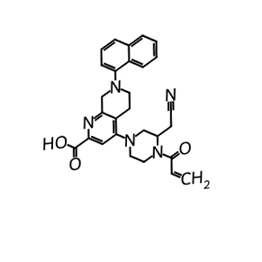 C=CC(=O)N1CCN(c2cc(C(=O)O)nc3c2CCN(c2cccc4ccccc24)C3)CC1CC#N